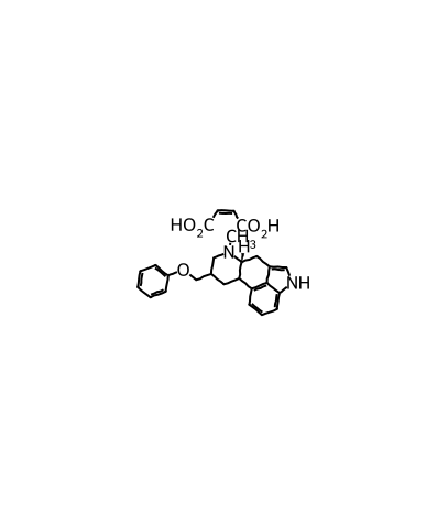 CN1CC(COc2ccccc2)CC2c3cccc4[nH]cc(c34)C[C@H]21.O=C(O)/C=C\C(=O)O